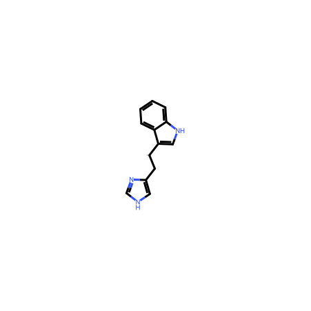 [CH](Cc1c[nH]cn1)c1c[nH]c2ccccc12